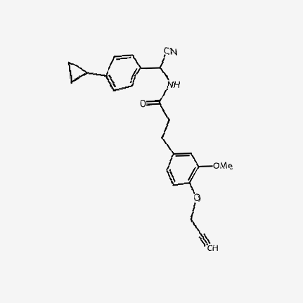 C#CCOc1ccc(CCC(=O)NC(C#N)c2ccc(C3CC3)cc2)cc1OC